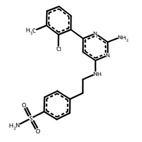 Cc1cccc(-c2cc(NCCc3ccc(S(N)(=O)=O)cc3)nc(N)n2)c1Cl